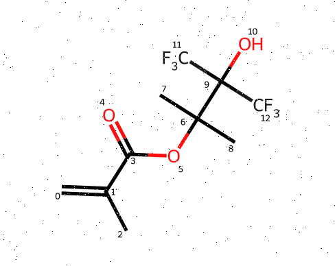 C=C(C)C(=O)OC(C)(C)C(O)(C(F)(F)F)C(F)(F)F